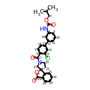 CC(C)COC(=O)Nc1cccc(-c2ccc(C(=O)N3CC[C@@]4(C3)OC(=O)c3ccccc34)c(Cl)c2)c1